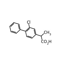 CC(C(=O)O)c1ccc(-c2ccccc2)c(Cl)c1